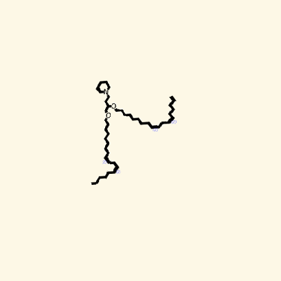 CCCCC/C=C\C/C=C\CCCCCCCCOCC(CCN1CCCCC1)OCCCCCCCC/C=C\C/C=C\CCCCC